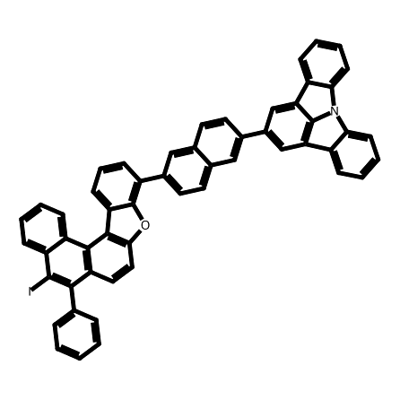 Ic1c(-c2ccccc2)c2ccc3oc4c(-c5ccc6cc(-c7cc8c9ccccc9n9c%10ccccc%10c(c7)c89)ccc6c5)cccc4c3c2c2ccccc12